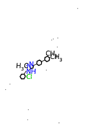 Cc1ccc(-c2ccc(-c3cc(NCc4ccccc4Cl)n(C)n3)cc2)cc1C